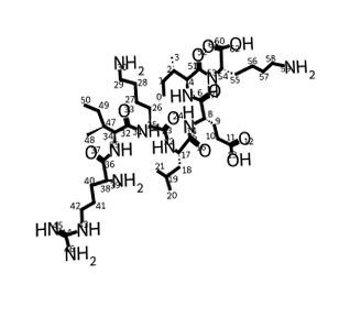 CC[C@H](C)[C@H](NC(=O)[C@H](CCC(=O)O)NC(=O)[C@H](CC(C)C)NC(=O)[C@H](CCCCN)NC(=O)[C@@H](NC(=O)[C@@H](N)CCCNC(=N)N)[C@@H](C)CC)C(=O)N[C@@H](CCCCN)C(=O)O